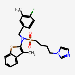 Cc1c(N(Cc2ccc(F)c(C(F)(F)F)c2)S(=O)(=O)CCCCn2ccnc2)sc2ccccc12